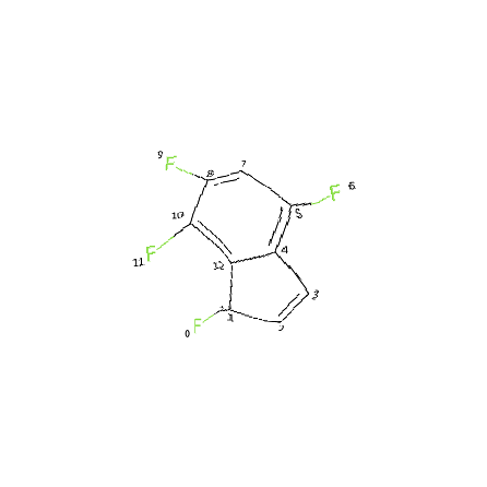 F[C]1C=Cc2c(F)cc(F)c(F)c21